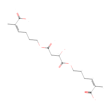 CC(=CCCCOC(=O)CC(O)C(=O)OCCCC=C(C)C(=O)O)C(=O)O